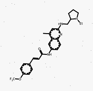 CCN1CCCC1CNc1cc(C)c2cc(NC(=O)/C=C/c3ccc(OC(F)(F)F)cc3)ccc2n1